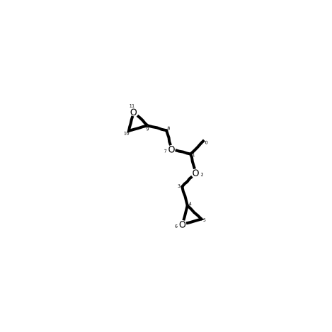 CC(OCC1CO1)OCC1CO1